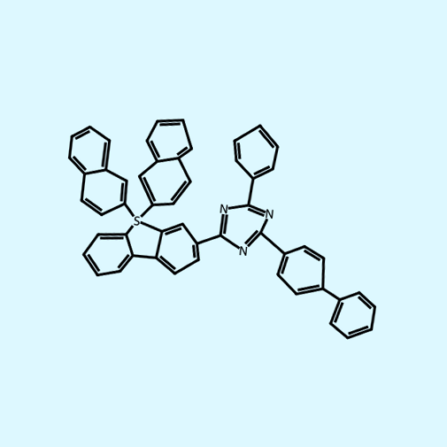 c1ccc(-c2ccc(-c3nc(-c4ccccc4)nc(-c4ccc5c(c4)S(c4ccc6ccccc6c4)(c4ccc6ccccc6c4)c4ccccc4-5)n3)cc2)cc1